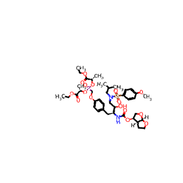 CCOC(=O)[C@H](C)OP(=O)(COc1ccc(C[C@H](NC(=O)O[C@H]2CO[C@H]3OCC[C@H]32)[C@H](O)CN(CC(C)C)S(=O)(=O)c2ccc(OC)cc2)cc1)O[C@@H](C)C(=O)OCC